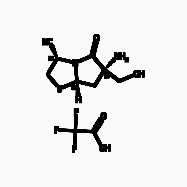 N#C[C@@H]1CS[C@H]2C[C@](N)(CO)C(=O)N12.O=C(O)C(F)(F)F